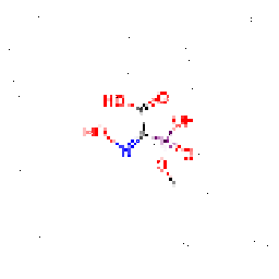 COP(=O)(O)C(=NO)C(=O)O